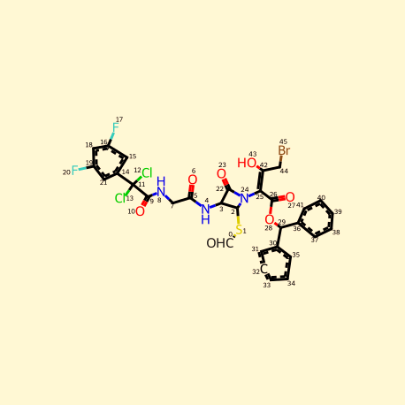 O=CSC1C(NC(=O)CNC(=O)C(Cl)(Cl)c2cc(F)cc(F)c2)C(=O)N1C(C(=O)OC(c1ccccc1)c1ccccc1)=C(O)CBr